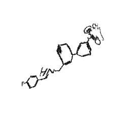 CS(=O)(=O)c1cccc(-c2cccc(CNCc3ccc(F)cc3)c2)c1